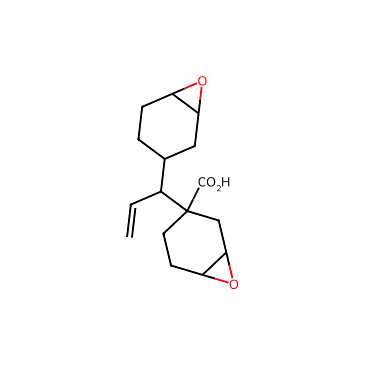 C=CC(C1CCC2OC2C1)C1(C(=O)O)CCC2OC2C1